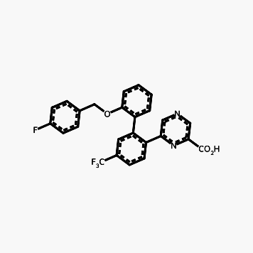 O=C(O)c1cncc(-c2ccc(C(F)(F)F)cc2-c2ccccc2OCc2ccc(F)cc2)n1